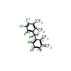 Fc1c(F)c(C(F)(F)F)c(C(F)(F)F)c(C(F)(F)c2c(F)c(F)c(F)c(C(F)(F)F)c2C(F)(F)F)c1F